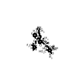 CC(C)(CC(=O)N(Cc1nn(CC(F)(F)F)c2c(-c3ccc(C#CC(C)(C)S(C)(=O)=O)nc3[C@H](Cc3cc(F)cc(F)c3)NC(=O)Cn3nc(C(F)(F)F)c4c3C(F)(F)[C@@H]3C[C@H]43)ccc(Cl)c12)[SH](=O)=O)c1c(CC(=O)O)cc(C(N)=O)cc1OP(=O)(O)O